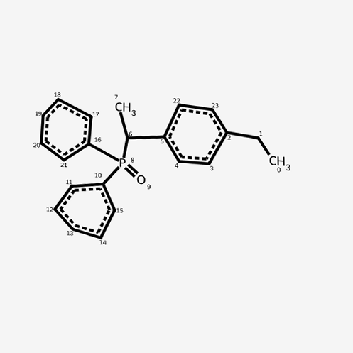 CCc1ccc(C(C)P(=O)(c2ccccc2)c2ccccc2)cc1